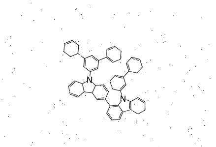 C1=CCCC(C2=CCCC(n3c4c(c5cccc(C6=CC7C8C=CC=CC8N(c8cc(C9=CCCC=C9)cc(C9CC=CCC9)c8)C7C=C6)c53)CCC=C4)=C2)=C1